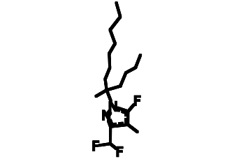 CCCCCCCC(C)(CCCC)n1nc(C(F)F)c(C)c1F